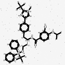 CC(C)Oc1ccc(C(=O)O[C@H](CCO[Si](c2ccccc2)(c2ccccc2)C(C)(C)C)Cc2ccc(-c3cn(C)c(C(C)(C)C)n3)cc2)cc1Cl